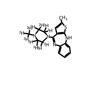 [2H]C([2H])([2H])N1C([2H])([2H])C([2H])([2H])N(C2=Nc3ccccc3Nc3sc(C)cc32)C([2H])([2H])C1([2H])[2H]